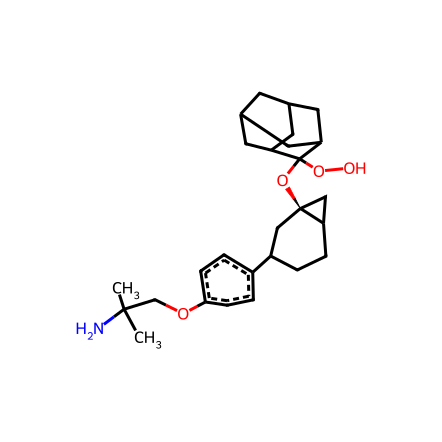 CC(C)(N)COc1ccc(C2CCC3C[C@@]3(OC3(OO)C4CC5CC(C4)CC3C5)C2)cc1